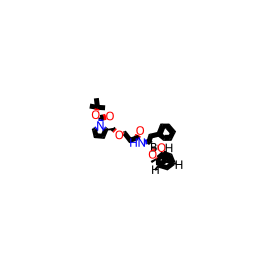 CC(C)(C)OC(=O)N1CCC[C@@H]1COCCC(=O)NC(Cc1ccccc1)B1O[C@@H]2C[C@@H]3C[C@@H](C3(C)C)[C@]2(C)O1